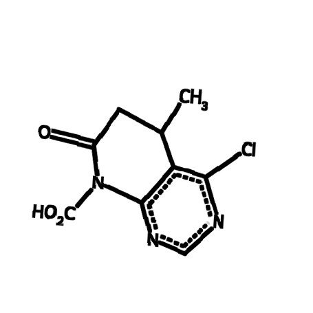 CC1CC(=O)N(C(=O)O)c2ncnc(Cl)c21